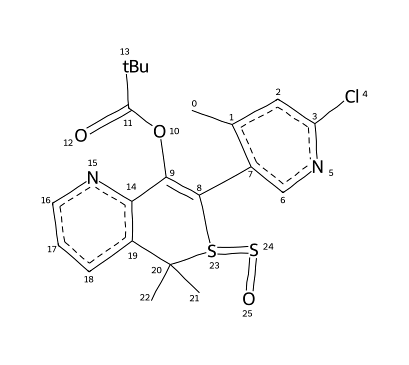 Cc1cc(Cl)ncc1C1=C(OC(=O)C(C)(C)C)c2ncccc2C(C)(C)S1=S=O